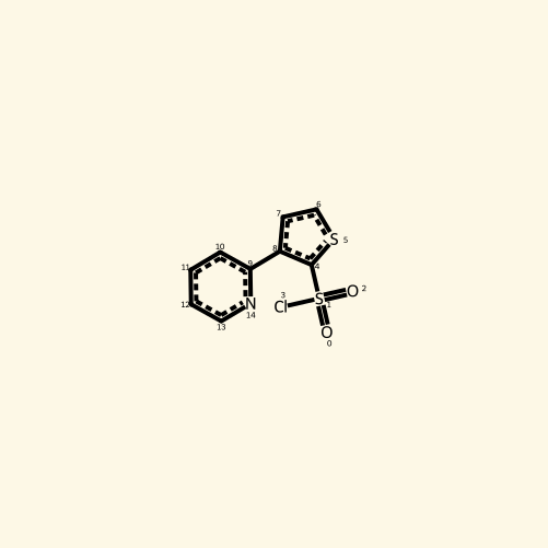 O=S(=O)(Cl)c1sccc1-c1ccccn1